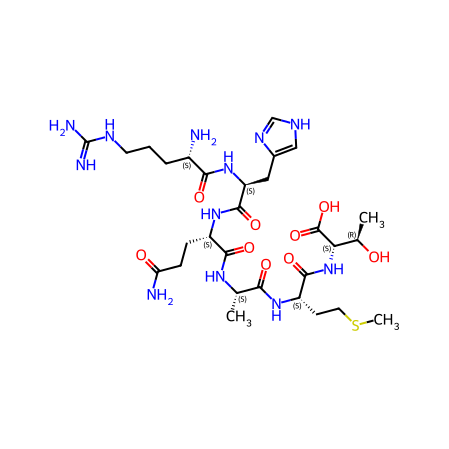 CSCC[C@H](NC(=O)[C@H](C)NC(=O)[C@H](CCC(N)=O)NC(=O)[C@H](Cc1c[nH]cn1)NC(=O)[C@@H](N)CCCNC(=N)N)C(=O)N[C@H](C(=O)O)[C@@H](C)O